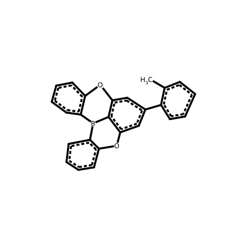 Cc1ccccc1-c1cc2c3c(c1)Oc1ccccc1B3c1ccccc1O2